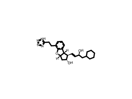 O[C@H](/C=C/[C@@H]1[C@H]2c3cccc(CCc4nnn[nH]4)c3O[C@H]2C[C@H]1O)CC1CCCCC1